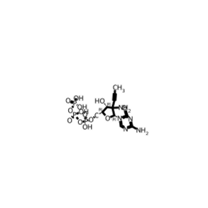 CC#CC1(N)[C@@H](O)[C@@H](COP(=O)(O)OP(=O)(O)OP(=O)(O)O)O[C@H]1n1cnc(N)nc1=O